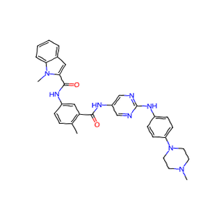 Cc1ccc(NC(=O)c2cc3ccccc3n2C)cc1C(=O)Nc1cnc(Nc2ccc(N3CCN(C)CC3)cc2)nc1